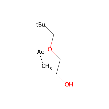 CC(C)(C)COCCO.CC(C)=O